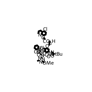 C#CCOc1cc(-n2nc(C(C)(C)C)oc2=O)c(Cl)cc1Cl.COc1nc(C)nc(N(C)C(=O)NS(=O)(=O)c2ccccc2C(=O)O)n1.O=C(O)COc1ccc(Cl)c2cccnc12